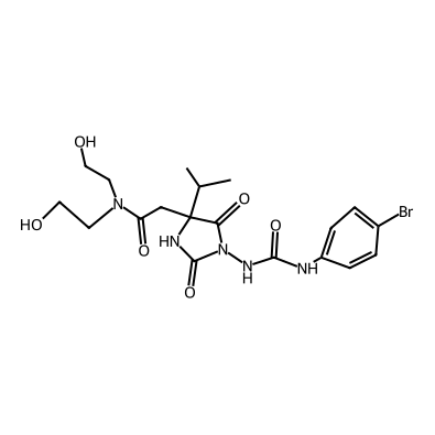 CC(C)C1(CC(=O)N(CCO)CCO)NC(=O)N(NC(=O)Nc2ccc(Br)cc2)C1=O